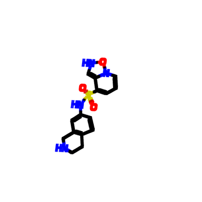 O=S(=O)(Nc1ccc2c(c1)CNCC2)C1=CC=CN2ONC=C12